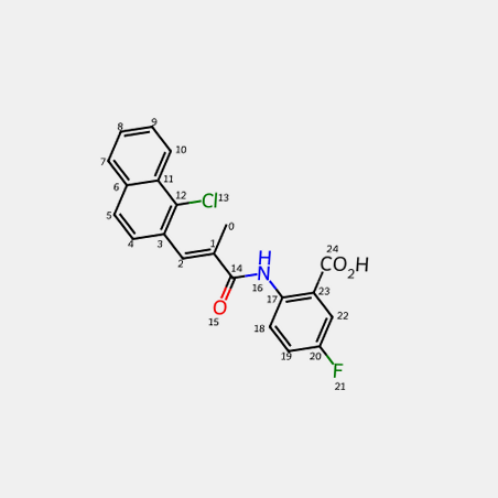 CC(=Cc1ccc2ccccc2c1Cl)C(=O)Nc1ccc(F)cc1C(=O)O